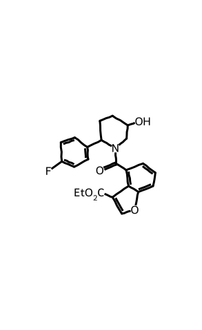 CCOC(=O)c1coc2cccc(C(=O)N3CC(O)CCC3c3ccc(F)cc3)c12